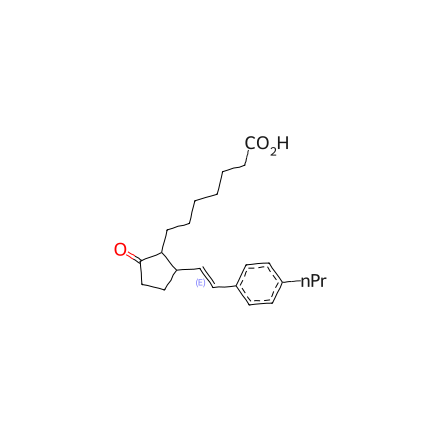 CCCc1ccc(/C=C/C2CCC(=O)C2CCCCCCC(=O)O)cc1